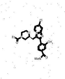 CCC(=O)N1CCO[C@@H](Cc2c(-c3ccc(C(=O)NC)cc3C)nc3cc(Cl)ccn23)C1